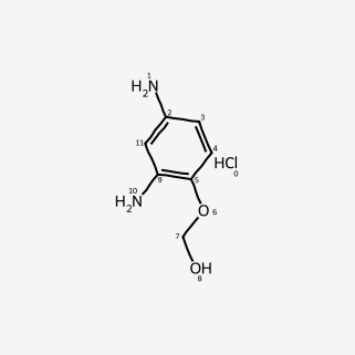 Cl.Nc1ccc(OCO)c(N)c1